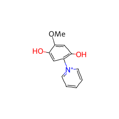 COc1cc(O)c(-[n+]2ccccc2)cc1O